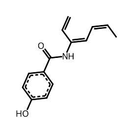 C=C/C(=C\C=C/C)NC(=O)c1ccc(O)cc1